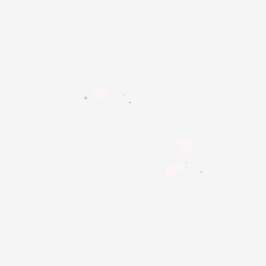 C[C@H](COC(=O)C(C)(C)C)[C@H]1CC[C@H]2[C@@H](O[Si](C)(C)C(C)(C)C)CCC[C@]12C